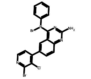 Nc1nc(N(Br)c2ccccc2)c2cc(-c3ccnc(Br)c3Cl)ccc2n1